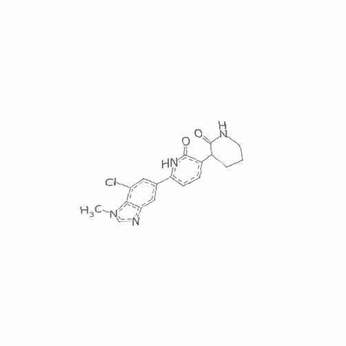 Cn1cnc2cc(-c3ccc(C4CCCNC4=O)c(=O)[nH]3)cc(Cl)c21